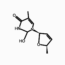 CC1=CN([C@H]2C=C[C@@H](C)O2)C(O)NC1=O